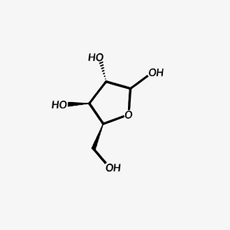 OC[C@@H]1OC(O)[C@@H](O)[C@@H]1O